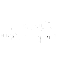 Cc1nc(N[C@H]2CCc3ccccc32)nc(N[C@@H]2C[C@H](COS(N)(=O)=O)[C@@H](O)C2O)n1